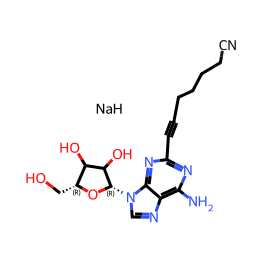 N#CCCCCC#Cc1nc(N)c2ncn([C@@H]3O[C@H](CO)C(O)C3O)c2n1.[NaH]